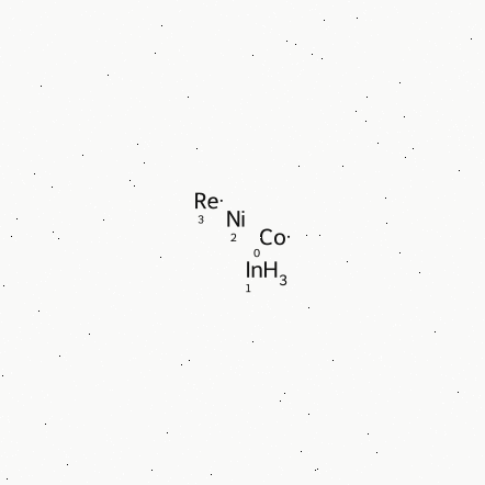 [Co].[InH3].[Ni].[Re]